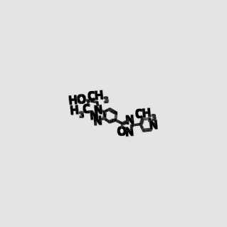 Cc1cnccc1-c1noc(-c2ccc3c(c2)nnn3CC(C)(C)O)n1